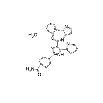 NC(=O)c1ccc(-c2nc(-c3nc4ccnc-4c4ccccc4n3)c(-c3ccccn3)[nH]2)cc1.O